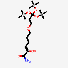 C[Si](C)(C)OC(CCOCCCC=C(O)C(N)=O)(O[Si](C)(C)C)O[Si](C)(C)C